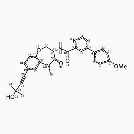 COc1ccc(-c2ccnc(C(=O)N[C@H]3COc4ccc(C#CC(C)(C)O)cc4N(C)C3=O)c2)cc1